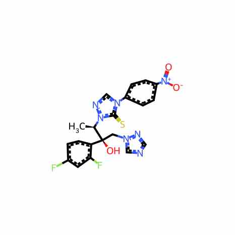 C[C@@H](n1ncn(-c2ccc([N+](=O)[O-])cc2)c1=S)[C@](O)(Cn1cncn1)c1ccc(F)cc1F